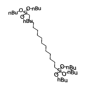 CCCCO[Si](CCCCCCCCCCCCCC[Si](OCCCC)(OCCCC)OCCCC)(OCCCC)OCCCC